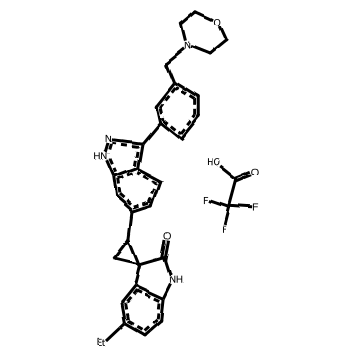 CCc1ccc2c(c1)C1(CC1c1ccc3c(-c4cccc(CN5CCOCC5)c4)n[nH]c3c1)C(=O)N2.O=C(O)C(F)(F)F